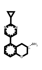 N[C@@H]1COc2cccc(-c3cnc(C4CC4)nc3)c2C1